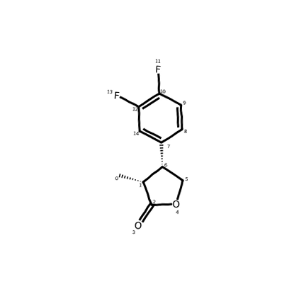 C[C@H]1C(=O)OC[C@H]1c1ccc(F)c(F)c1